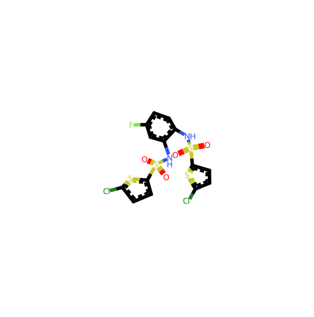 O=S(=O)(Nc1ccc(F)cc1NS(=O)(=O)c1ccc(Cl)s1)c1ccc(Cl)s1